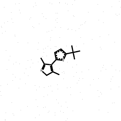 CC1=NCC(C)=C1c1ccc(C(C)(C)C)s1